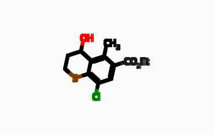 CCOC(=O)c1cc(Cl)c2c(c1C)C(O)CCS2